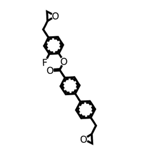 O=C(Oc1ccc(CC2CO2)cc1F)c1ccc(-c2ccc(CC3CO3)cc2)cc1